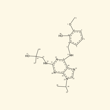 COc1cccc(CNc2nc(NCC(C)(C)O)nc3c2ncn3C(C)C)c1O